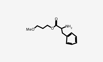 COCCCOC(=O)C(N)Cc1ccccc1